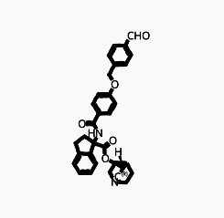 O=Cc1ccc(COc2ccc(C(=O)NC3(C(=O)O[C@H]4CN5CCC4CC5)CCc4ccccc43)cc2)cc1